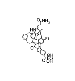 CCc1ccccc1CO[C@H](C)[C@H](CCC(N)=O)NC(=O)[C@@H]1Cc2cccc3c2N1C(=O)[C@@H](NC(=O)c1cc2cc(C(=O)P(=O)(O)O)ccc2[nH]1)CC3